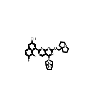 Oc1cc(-c2ncc3c(N4CC5CCC(C4)N5)nc(OCC45CCCN4CCC5)nc3n2)c2c(F)c(F)ccc2c1